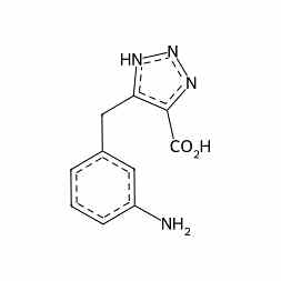 Nc1cccc(Cc2[nH]nnc2C(=O)O)c1